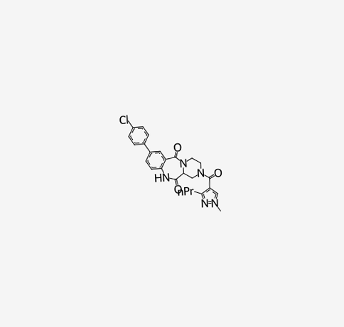 CCCc1nn(C)cc1C(=O)N1CCN2C(=O)c3cc(-c4ccc(Cl)cc4)ccc3NC(=O)C2C1